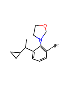 CC(C)c1cccc(C(C)C2CC2)c1N1CCOC1